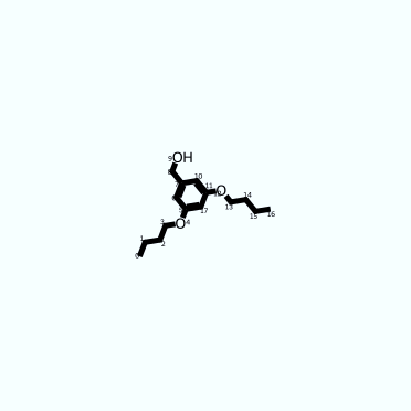 CCCCOc1cc(CO)cc(OCCCC)c1